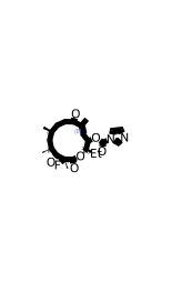 CC[C@H]1OC(=O)[C@@](C)(F)C(=O)[C@H](C)C[C@@H](C)CCC(=O)/C(C)=C/C1OC(=O)n1ccnc1